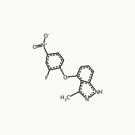 Cc1n[nH]c2cccc(Oc3ccc([N+](=O)[O-])cc3F)c12